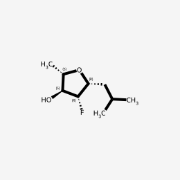 CC(C)C[C@H]1O[C@@H](C)[C@H](O)[C@H]1F